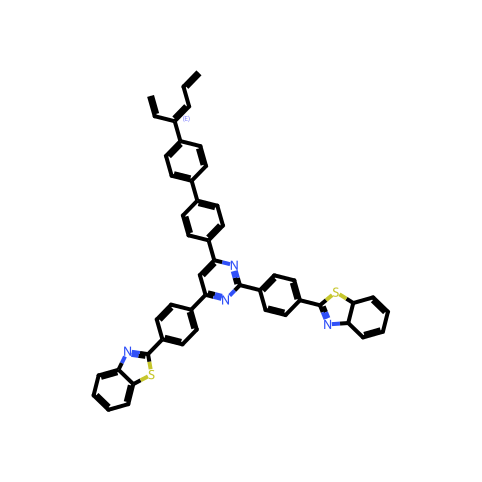 C=C/C=C(\C=C)c1ccc(-c2ccc(-c3cc(-c4ccc(-c5nc6ccccc6s5)cc4)nc(-c4ccc(C5=NC6C=CC=CC6S5)cc4)n3)cc2)cc1